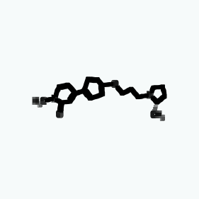 C[C@H]1CCCN1CCCOc1ccc(-c2ccn(C)c(=O)c2)cc1